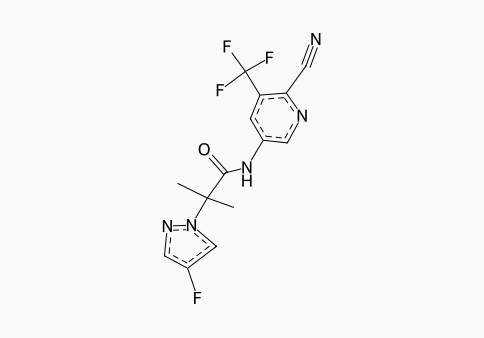 CC(C)(C(=O)Nc1cnc(C#N)c(C(F)(F)F)c1)n1cc(F)cn1